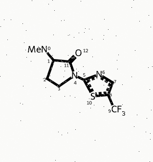 CNC1CCN(c2ncc(C(F)(F)F)s2)C1=O